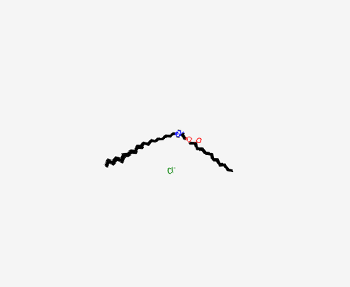 CCCCCCCCCCCCCCCCCCCC[N+](C)(C)CCOCC(=O)CCCCCCCCCC.[Cl-]